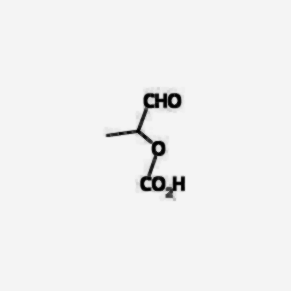 CC(C=O)OC(=O)O